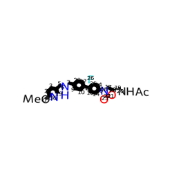 COc1ccc(CNCc2ccc(-c3ccc(N4C[C@H](CNC(C)=O)OC4=O)cc3F)cc2)cn1